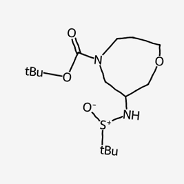 CC(C)(C)OC(=O)N1CCCOCC(N[S+]([O-])C(C)(C)C)C1